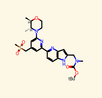 C[C@@H]1[C@@H](C)OCCN1c1cc(CS(C)(=O)=O)cc(-c2ccc3[nH]c(CN(C)C(=O)OC(C)(C)C)cc3n2)n1